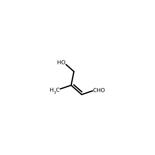 CC(=CC=O)CO